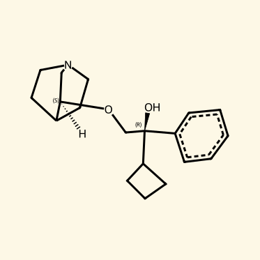 O[C@@](CO[C@@H]1CN2CCC1CC2)(c1ccccc1)C1CCC1